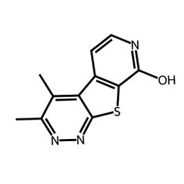 Cc1nnc2sc3c(O)nccc3c2c1C